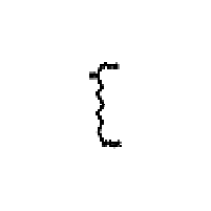 CCCCCCCCCCCCCNCCCCC